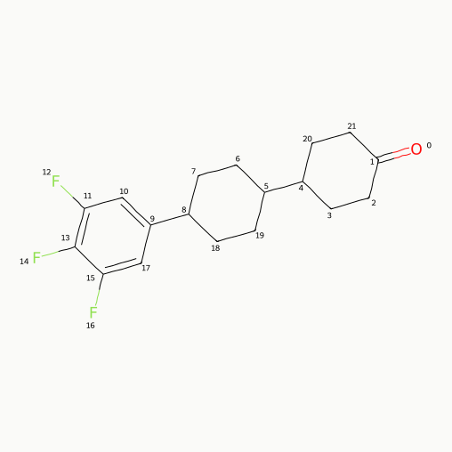 O=C1CCC(C2CCC(c3cc(F)c(F)c(F)c3)CC2)CC1